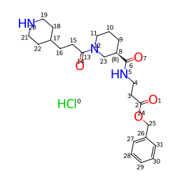 Cl.O=C(CCNC(=O)[C@@H]1CCCN(C(=O)CCC2CCNCC2)C1)OCc1ccccc1